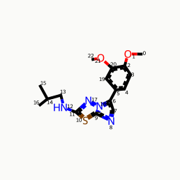 COc1ccc(-c2cnc3sc(NCC(C)C)nn23)cc1OC